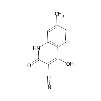 Cc1ccc2c(O)c(C#N)c(=O)[nH]c2c1